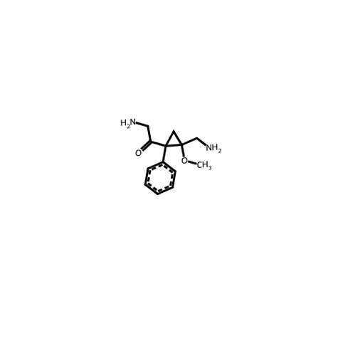 COC1(CN)CC1(C(=O)CN)c1ccccc1